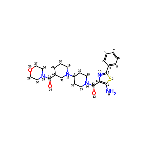 Nc1sc(-c2ccccc2)nc1C(=O)N1CCC(N2CCCC(C(=O)N3CCOCC3)C2)CC1